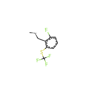 C[CH]Cc1c(F)cccc1SC(F)(F)F